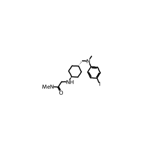 CNC(=O)CN[C@H]1CC[C@H](CN(C)c2ccc(I)cc2)CC1